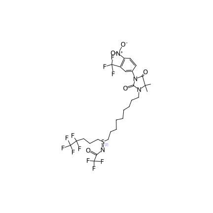 CC1(C)C(=O)N(c2ccc([N+](=O)[O-])c(C(F)(F)F)c2)C(=O)N1CCCCCCCCC/S(CCCC(F)(F)C(F)(F)F)=N/C(=O)C(F)(F)F